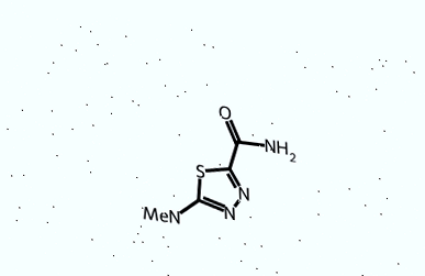 CNc1nnc(C(N)=O)s1